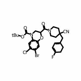 CC(C)(C)OC(=O)N1CC(C(=O)N2CCC(C#N)(CC3=CC=C(F)CC3)CC2)Oc2cc(Br)c(Cl)cc21